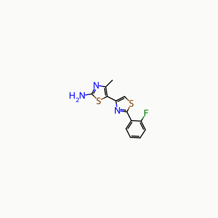 Cc1nc(N)sc1-c1csc(-c2ccccc2F)n1